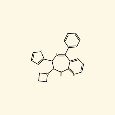 c1ccc(C2=NC(c3cccs3)C(N3CCC3)Nc3ncccc32)cc1